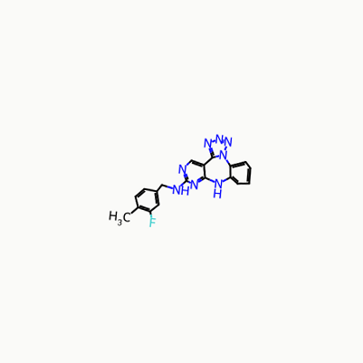 Cc1ccc(CNc2ncc3c(n2)Nc2ccccc2-n2nnnc2-3)cc1F